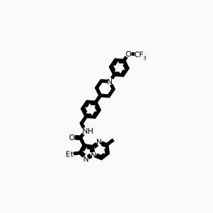 CCc1nn2ccc(C)nc2c1C(=O)NCc1ccc(C2CCN(c3ccc(OC(F)(F)F)cc3)CC2)cc1